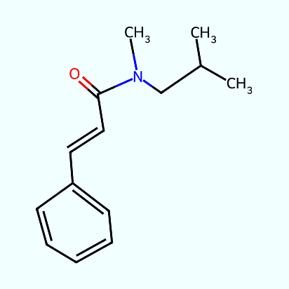 CC(C)CN(C)C(=O)/C=C/c1ccccc1